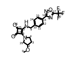 COC1CCN(c2c(NCc3ccc(-c4noc(C(F)(F)F)n4)cc3)c(=O)c2=O)C1